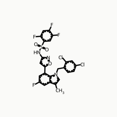 Cc1cn(Cc2ccc(Cl)cc2Cl)c2c(-c3cc(NS(=O)(=O)c4cc(F)c(F)cc4F)no3)cc(F)cc12